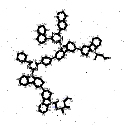 C=C/C=C(\C)n1c2ccccc2c2cc(-c3ccc4c(c3)c3ccc(-c5ccc(-c6nc(-c7ccccc7)nc(-n7c8ccccc8c8cc(-c9ccc%10c(c9)c9ccccc9n%10/C(C)=C/C(=C)C(=C)/C=C\C)ccc87)n6)cc5)cc3n4-c3nc(-c4ccc5ccccc5c4)nc(-c4cccc5ccccc45)n3)ccc21